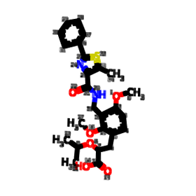 COc1ccc(CC(OC(C)C)C(=O)O)c(OC)c1CNC(=O)c1nc(-c2ccccc2)sc1C